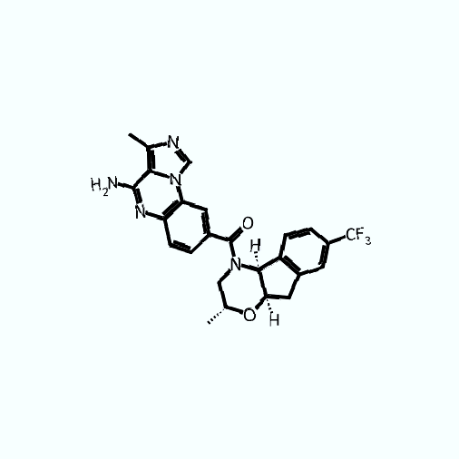 Cc1ncn2c1c(N)nc1ccc(C(=O)N3C[C@@H](C)O[C@@H]4Cc5cc(C(F)(F)F)ccc5[C@@H]43)cc12